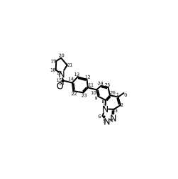 Cc1cc2nncn2c2cc(-c3ccc(C(=O)N4CCCC4)cc3)ccc12